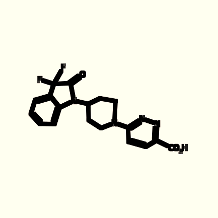 O=C(O)c1ccc(N2CCC(N3C(=O)C(F)(F)c4ccccc43)CC2)nn1